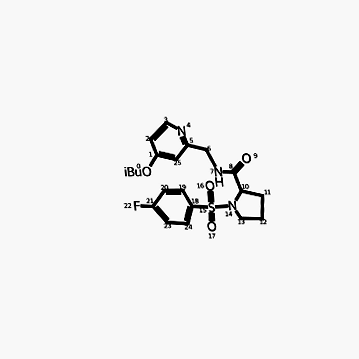 CC(C)COc1ccnc(CNC(=O)C2CCCN2S(=O)(=O)c2ccc(F)cc2)c1